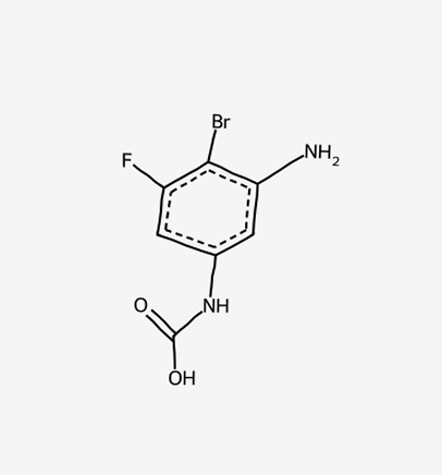 Nc1cc(NC(=O)O)cc(F)c1Br